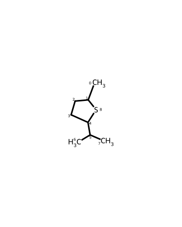 CC1CCC(C(C)C)S1